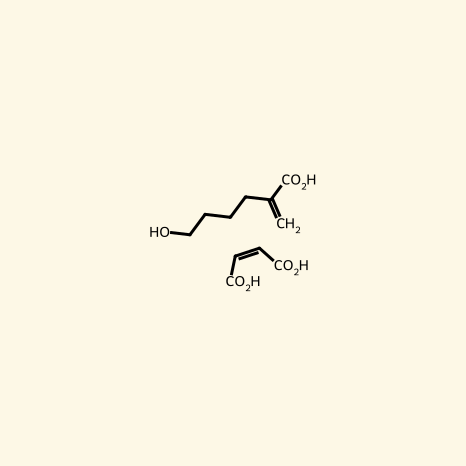 C=C(CCCCO)C(=O)O.O=C(O)/C=C\C(=O)O